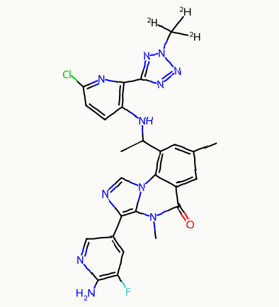 [2H]C([2H])([2H])n1nnc(-c2nc(Cl)ccc2NC(C)c2cc(C)cc3c(=O)n(C)c4c(-c5cnc(N)c(F)c5)ncn4c23)n1